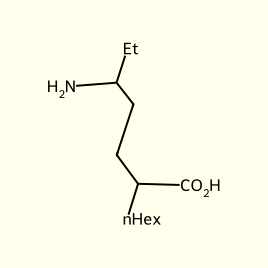 CCCCCCC(CCC(N)CC)C(=O)O